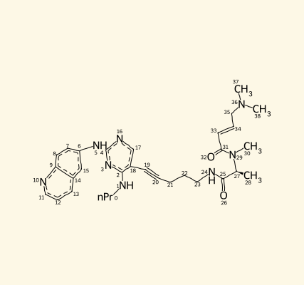 CCCNc1nc(Nc2ccc3ncccc3c2)ncc1C#CCCCNC(=O)[C@H](C)N(C)C(=O)/C=C/CN(C)C